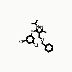 Cc1nn(C(C)C)c(Sc2cc(Cl)cc(Cl)c2)c1COCc1ccccc1